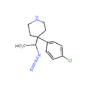 [N-]=[N+]=NC(C(=O)O)C1(c2ccc(Cl)cc2)CCNCC1